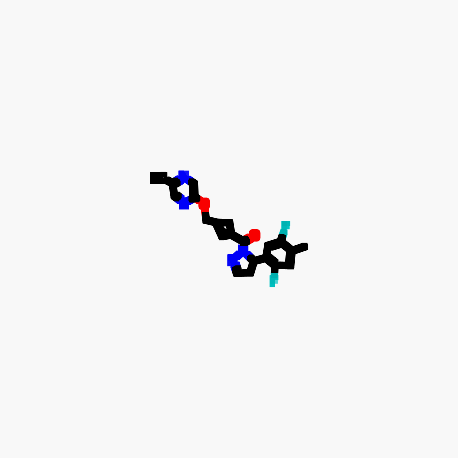 Cc1cc(F)c(C2CC=NN2C(=O)C23CC(COc4cnc(C#N)cn4)(C2)C3)cc1F